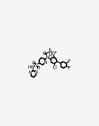 CNC(=O)N(c1ccc(S(=O)(=O)Nc2ncccn2)cn1)c1cc(Cl)c(-c2ccc(F)c(F)c2)cc1OC